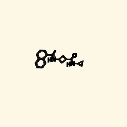 C[C@@H](NC1CC(C(=O)NC2CC2)C1)c1cccc2ccccc12